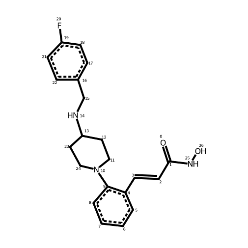 O=C(C=Cc1ccccc1N1CCC(NCc2ccc(F)cc2)CC1)NO